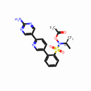 C[C@@H](N(OC(=O)C(F)(F)F)S(=O)(=O)c1ccccc1-c1ccc(-c2cnc(N)nc2)nc1)C(F)(F)F